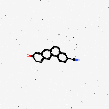 N#Cc1ccc2c(ccc3cc4c(cc32)=CCC(=O)C=4)c1